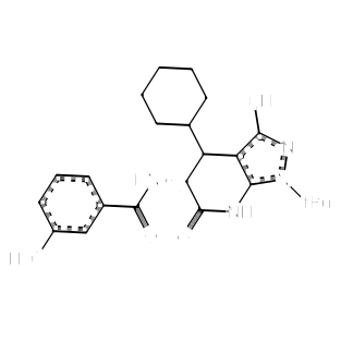 Cc1cccc(C(=O)N[C@H]2C(=O)Nc3c(c(C)nn3C(C)(C)C)C2C2CCCCC2)c1